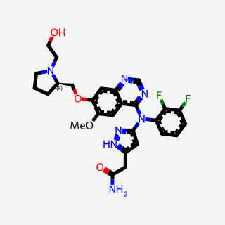 COc1cc2c(N(c3cc(CC(N)=O)[nH]n3)c3cccc(F)c3F)ncnc2cc1OC[C@H]1CCCN1CCO